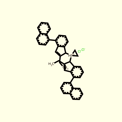 CCC1=Cc2c(-c3cccc4ccccc34)cccc2[CH]1[Hf+2]1([CH]2C(CC)=Cc3c(-c4cccc5ccccc45)cccc32)[CH2][CH2]1.[Cl-].[Cl-]